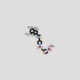 CC(C)(C)OC(=O)N1CCOC(COC(=O)N2CCC(c3nc(-c4ccc5c(c4)C(C)(C)CCC5(C)C)cs3)CC2)C1